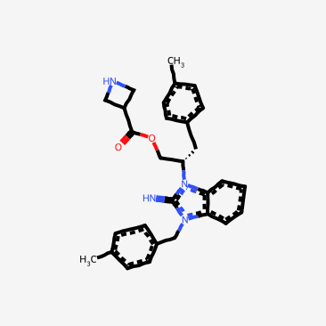 Cc1ccc(C[C@@H](COC(=O)C2CNC2)n2c(=N)n(Cc3ccc(C)cc3)c3ccccc32)cc1